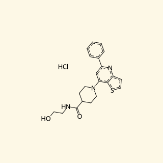 Cl.O=C(NCCO)C1CCN(c2cc(-c3ccccc3)nc3ccsc23)CC1